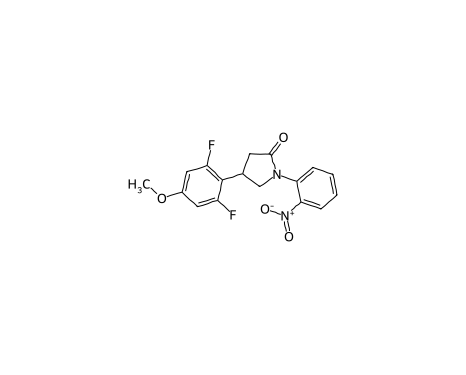 COc1cc(F)c(C2CC(=O)N(c3ccccc3[N+](=O)[O-])C2)c(F)c1